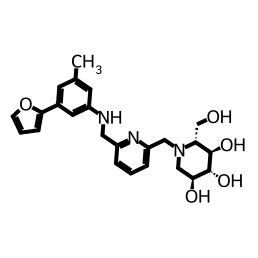 Cc1cc(NCc2cccc(CN3C[C@H](O)[C@@H](O)[C@H](O)[C@H]3CO)n2)cc(-c2ccco2)c1